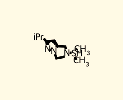 CC(C)c1cc2n(n1)CCN([SH](C)C)C2